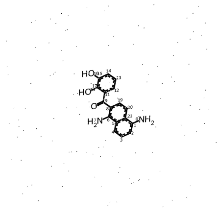 Nc1cccc2c(N)c(C(=O)c3cccc(O)c3O)ccc12